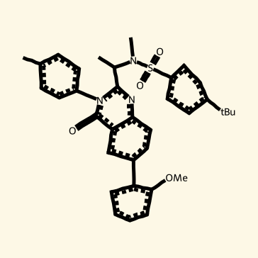 COc1ccccc1-c1ccc2nc(C(C)N(C)S(=O)(=O)c3ccc(C(C)(C)C)cc3)n(-c3ccc(C)cc3)c(=O)c2c1